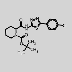 CC(C)(C)OC(=O)N1CCCCC1C(=O)Nc1nnc(-c2ccc(Cl)cc2)s1